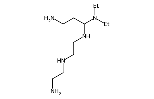 CCN(CC)C(CCN)NCCNCCN